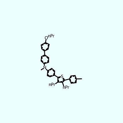 CCCOc1ccc(-c2ccc(N(C)c3ccc(-c4sc(-c5ccc(C)cc5)c(CCC)c4CCC)cc3)cc2)cc1